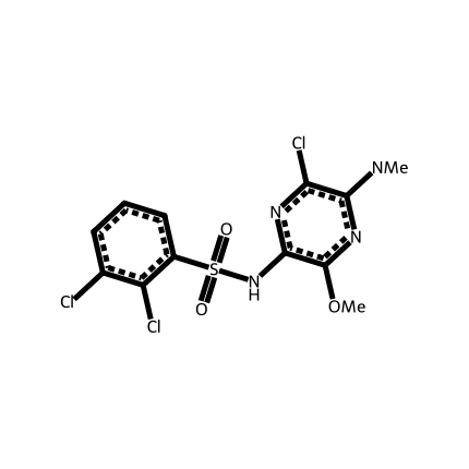 CNc1nc(OC)c(NS(=O)(=O)c2cccc(Cl)c2Cl)nc1Cl